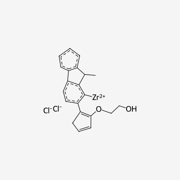 CC1c2ccccc2-c2ccc(C3=C(OCCO)C=CC3)[c]([Zr+2])c21.[Cl-].[Cl-]